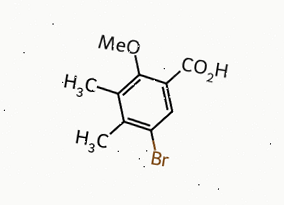 COc1c(C(=O)O)cc(Br)c(C)c1C